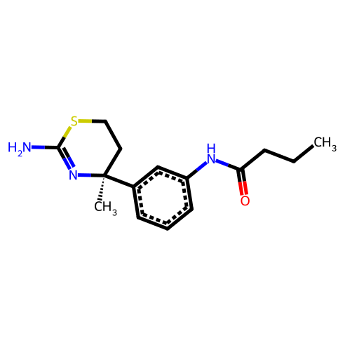 CCCC(=O)Nc1cccc([C@]2(C)CCSC(N)=N2)c1